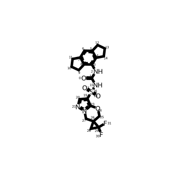 O=C(Nc1c2c(cc3c1CCC3)CCC2)NS(=O)(=O)c1cnn2c1OCC1(C2)CC1(F)F